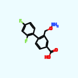 NOCc1cc(C(=O)O)ccc1-c1ccc(F)cc1F